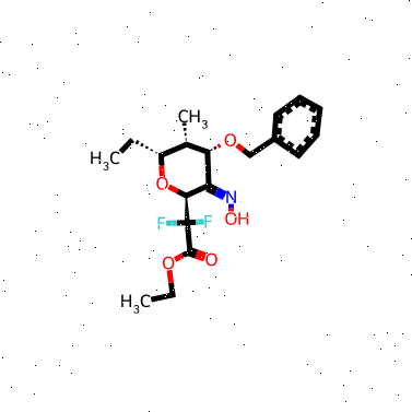 CCOC(=O)C(F)(F)[C@H]1O[C@H](CC)[C@H](C)[C@H](OCc2ccccc2)/C1=N/O